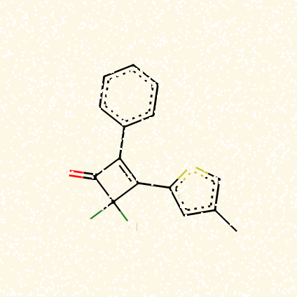 Cc1csc(C2=C(c3ccccc3)C(=O)C2(Cl)Cl)c1